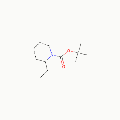 CCC1CCCCN1C(=O)OC(C)(C)C